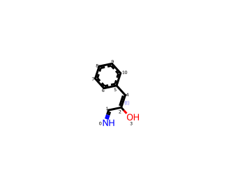 N=C/C(O)=C\c1ccccc1